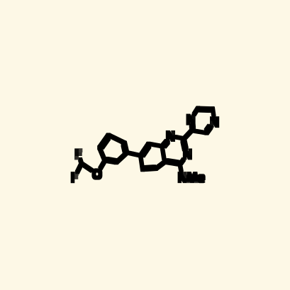 CNc1nc(-c2cnccn2)nc2cc(-c3cccc(OC(F)F)c3)ccc12